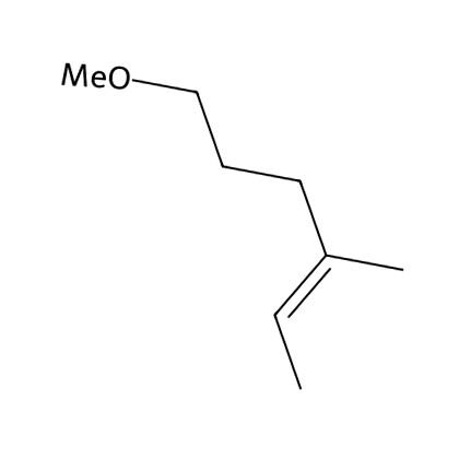 [CH2]OCCCC(C)=CC